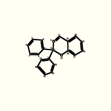 C1=[O+][B-](c2ccccc2)(c2ccccc2)Oc2ccccc21